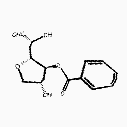 O=C[C@H](O)[C@H]1OC[C@@H](O)[C@@H]1OC(=O)c1ccccc1